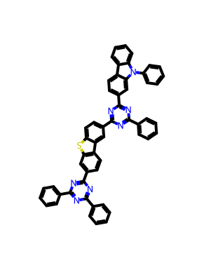 c1ccc(-c2nc(-c3ccccc3)nc(-c3ccc4c(c3)sc3ccc(-c5nc(-c6ccccc6)nc(-c6ccc7c8ccccc8n(-c8ccccc8)c7c6)n5)cc34)n2)cc1